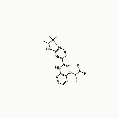 CC(Nc1nccc(C(=O)Nc2cnccc2OC(F)C(F)F)n1)C(C)(C)C